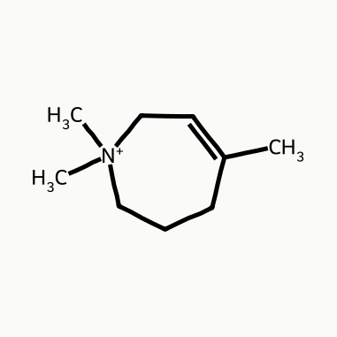 CC1=CC[N+](C)(C)CCC1